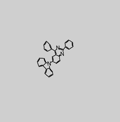 c1ccc(-c2nc(-c3ccccc3)c3cc(-n4c5ccccc5c5ccccc54)ccc3n2)cc1